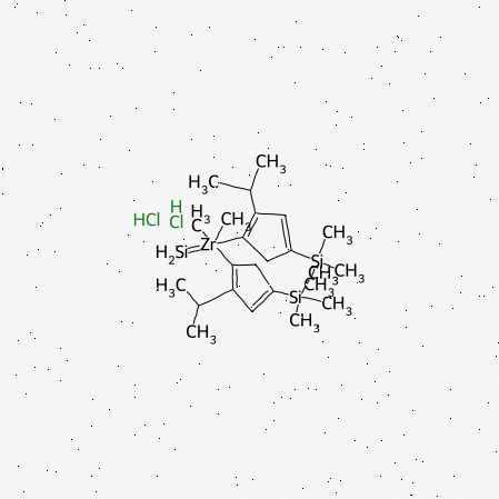 CC(C)C1=[C]([Zr]([CH3])([CH3])(=[SiH2])[C]2=C(C(C)C)C=C([Si](C)(C)C)C2)CC([Si](C)(C)C)=C1.Cl.Cl